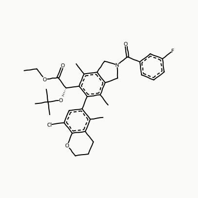 CCOC(=O)[C@@H](OC(C)(C)C)c1c(C)c2c(c(C)c1-c1cc(Cl)c3c(c1C)CCCO3)CN(C(=O)c1cccc(F)c1)C2